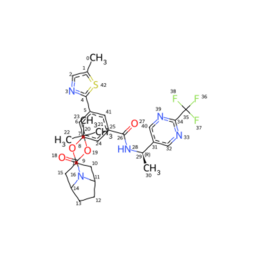 Cc1cnc(-c2cc(OC3CC4CCC(C3)N4C(=O)OC(C)(C)C)cc(C(=O)N[C@H](C)c3cnc(C(F)(F)F)nc3)c2)s1